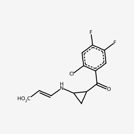 O=C(O)C=CNC1CC1C(=O)c1cc(F)c(F)cc1Cl